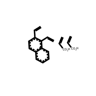 C=CC(=O)O.C=CC(=O)O.C=Cc1ccc2ccccc2c1C=C